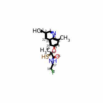 C#Cc1cnc2c(C)cc(OC(C)(S)C(=O)NCCF)cc2c1